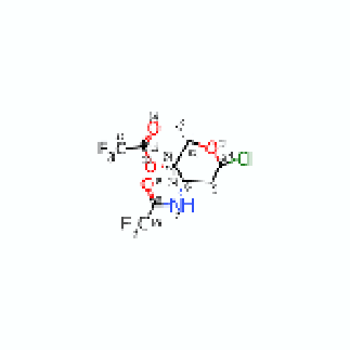 C[C@@H]1OC(Cl)C[C@H](NC(=O)C(F)(F)F)[C@@H]1OC(=O)C(F)(F)F